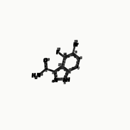 NC(=O)c1n[nH]c2ccc(Br)c(F)c12